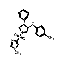 Cc1ccc(N[C@H]2CN(S(=O)(=O)c3cn(C)cn3)C[C@@H]2c2ccccc2)cc1